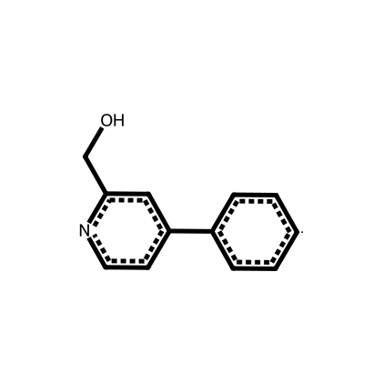 OCc1cc(-c2cc[c]cc2)ccn1